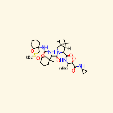 CCCCC(NC(=O)[C@@H]1[C@@H]2[C@H](CN1C(=O)C(NC(=O)NC1(CS(=O)(=O)C(C)(C)C)CCCCC1)C1(C)CCCCC1)C2(C)C)C(=O)C(=O)NC1CC1